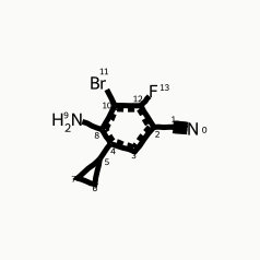 N#Cc1cc(C2CC2)c(N)c(Br)c1F